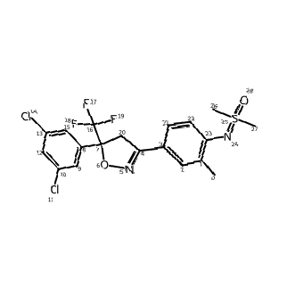 Cc1cc(C2=NOC(c3cc(Cl)cc(Cl)c3)(C(F)(F)F)C2)ccc1N=S(C)(C)=O